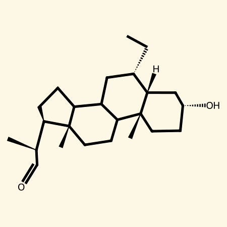 CC[C@H]1CC2C3CC[C@H]([C@H](C)C=O)[C@@]3(C)CCC2[C@@]2(C)CC[C@@H](O)C[C@@H]12